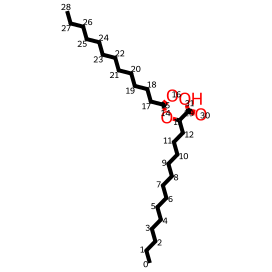 CCCCCCCCCCCCCC(OC(=O)CCCCCCCCCCCC)C(=O)O